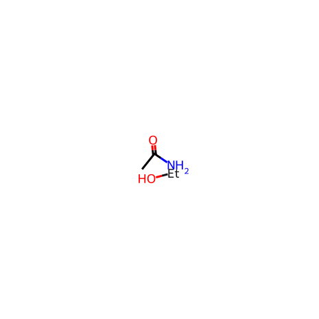 CC(N)=O.CCO